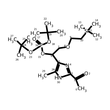 CC(=O)c1nc(C(COCC[Si](C)(C)C)OP(=O)(OC(C)(C)C)OC(C)(C)C)c(C)[nH]1